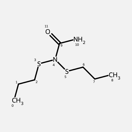 CCCSN(SCCC)C(N)=O